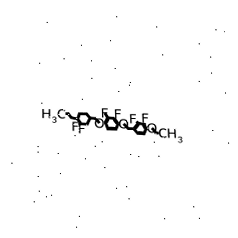 CCCC1CCC(COc2ccc(OCc3ccc(OCC)c(F)c3F)c(F)c2F)CC1(F)F